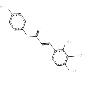 COc1ccc(/C=C/C(=O)Nc2ccc(C)cc2)c(OC)c1OC